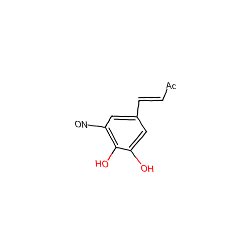 CC(=O)/C=C/c1cc(O)c(O)c(N=O)c1